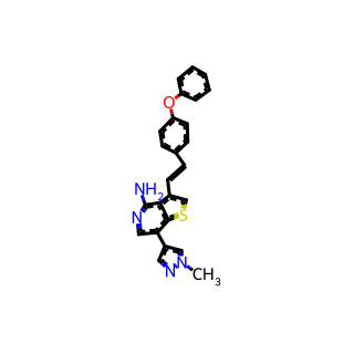 Cn1cc(-c2cnc(N)c3c(C=Cc4ccc(Oc5ccccc5)cc4)csc23)cn1